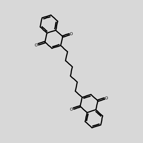 O=C1C=C(CCCCCCC2=CC(=O)c3ccccc3C2=O)C(=O)c2ccccc21